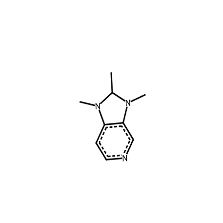 CC1N(C)c2ccncc2N1C